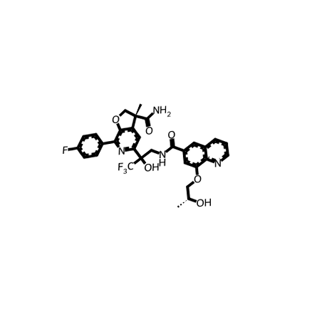 C[C@@H](O)COc1cc(C(=O)NCC(O)(c2cc3c(c(-c4ccc(F)cc4)n2)OC[C@]3(C)C(N)=O)C(F)(F)F)cc2cccnc12